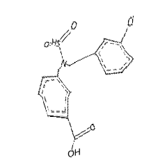 O=C(O)c1cccc(N(c2cccc(Cl)c2)[SH](=O)=O)c1